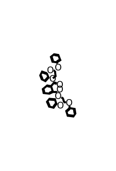 O=C(OCC(Oc1ccccc1)Oc1ccccc1)c1ccccc1C(=O)OCC(Oc1ccccc1)Oc1ccccc1